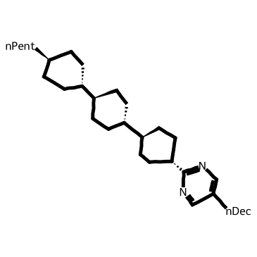 CCCCCCCCCCc1cnc([C@H]2CC[C@H]([C@H]3CC[C@H]([C@H]4CC[C@H](CCCCC)CC4)CC3)CC2)nc1